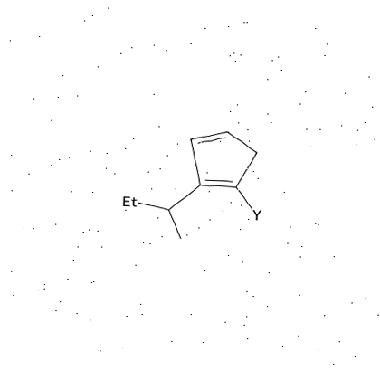 CCC(C)C1=[C]([Y])CC=C1